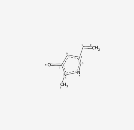 C=Cc1cnn(C)c(=O)c1